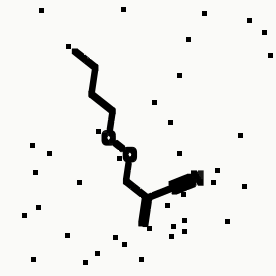 C=C(C#N)COOCCCC